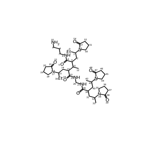 CCC(CC(C(=O)NCCCN)C(C)C(CC(CC)N1CCCC1=O)C(=O)NCNC(=O)C(CC(C)N1CCCC1=O)CC(C)N1CCCC1=O)N1CCCC1=O